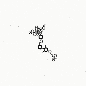 CCOC(=O)CN(c1ccc(OCc2cccc(-c3c(C)cc(OCCCS(C)(=O)=O)cc3C)c2)cc1)S(=O)(=O)NC(=O)OC(C)(C)C